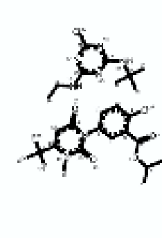 CC(C)OC(=O)c1cc(-n2c(=O)cc(C(F)(F)F)n(C)c2=O)ccc1Cl.CCNc1nc(Cl)nc(NC(C)(C)C)n1